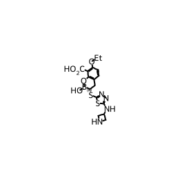 CCOc1ccc2c(c1C(=O)O)OB(O)[C@@H](Sc1nnc(NC3CNC3)s1)C2